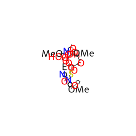 CCC1OC(=O)C(C)C(O[C@H]2CC(C)(OC)C(O)C(C)O2)C(C)[C@H](OC2OC(C)CC(N(C)C)C2O)[C@](C)(OC)CC(C)C(=O)C(C)CC1(C)OC(=O)CSCCN(C(=O)c1cccnc1)c1ccc(OC)c(OC2CCCC2)c1